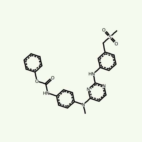 CN(c1ccc(NC(=O)Oc2ccccc2)cc1)c1ccnc(Nc2cccc(CS(C)(=O)=O)c2)n1